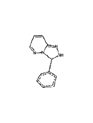 C1=CC2=NN[C](c3ccccc3)N2N=C1